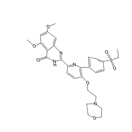 CCS(=O)(=O)c1ccc(-c2nc(-c3nc4cc(OC)cc(OC)c4c(=O)[nH]3)ccc2OCCN2CCOCC2)cc1